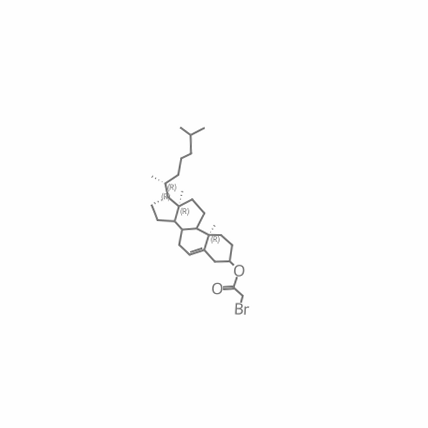 CC(C)CCC[C@@H](C)[C@H]1CCC2C3CC=C4CC(OC(=O)CBr)CC[C@]4(C)C3CC[C@@]21C